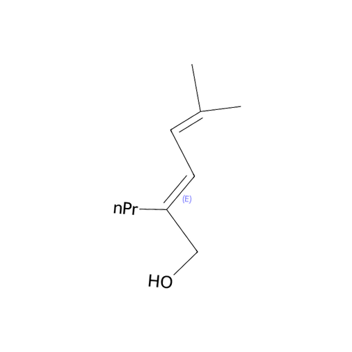 CCC/C(=C\C=C(C)C)CO